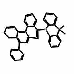 CC1(C)c2ccccc2N(c2cc3cc(-c4ccccc4)c4c(c3c3ccccc23)C=CCC4)c2ccccc21